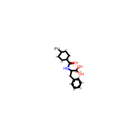 CC(C)C1CCC(C(=O)NC(Cc2ccccc2)C(O)O)CC1